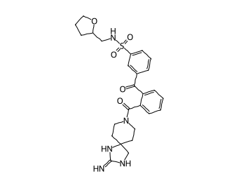 N=C1NCC2(CCN(C(=O)c3ccccc3C(=O)c3cccc(S(=O)(=O)NCC4CCCO4)c3)CC2)N1